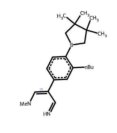 CCCCc1cc(/C(C=N)=C/NC)ccc1B1CC(C)(C)C(C)(C)C1